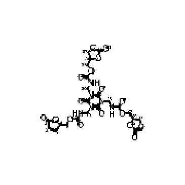 O=C1CCC(COC(=O)NCn2c(=O)n(CNC(=O)OCC3COC(=O)O3)c(=O)n(CNC(=O)OCC3COC(=O)O3)c2=O)O1